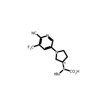 CC(C)(C)N(C(=O)O)[C@@H]1CCN(c2cnc(C#N)c(C(F)(F)F)c2)C1